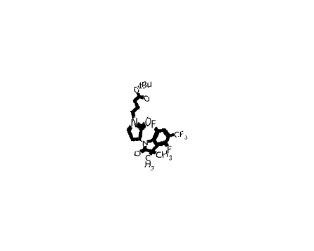 CC(C)(C)OC(=O)CCCN1CC[C@@H](N2C(=O)C(C)(C)c3c(F)c(C(F)(F)F)cc(F)c32)C1=O